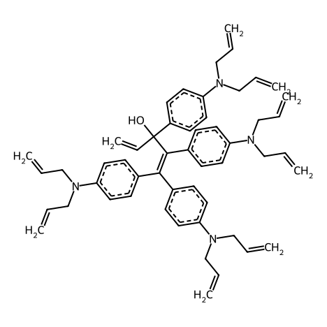 C=CCN(CC=C)c1ccc(C(=C(c2ccc(N(CC=C)CC=C)cc2)C(O)(C=C)c2ccc(N(CC=C)CC=C)cc2)c2ccc(N(CC=C)CC=C)cc2)cc1